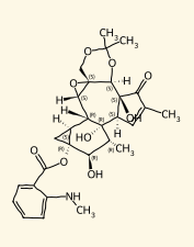 CNc1ccccc1C(=O)O[C@]12C[C@H]1[C@@H]1[C@@H]3O[C@@]34COC(C)(C)O[C@H]4[C@]3(O)C(=O)C(C)=C[C@H]3[C@@]1(O)[C@H](C)[C@H]2O